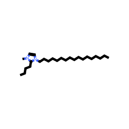 CCCCCCCCCCCCCCCCCN1C=CN(C)C1CCCC